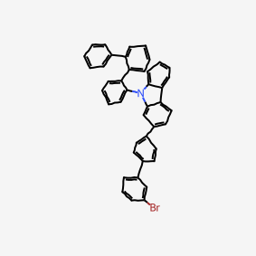 Brc1cccc(-c2ccc(-c3ccc4c5ccccc5n(-c5ccccc5-c5ccccc5-c5ccccc5)c4c3)cc2)c1